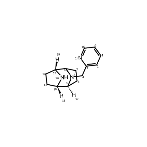 c1ccc(CN2C3CC[C@H]2[C@@H]2CC[C@H]3N2)nc1